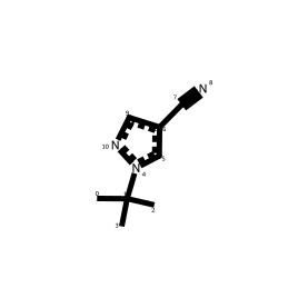 CC(C)(C)n1cc(C#N)cn1